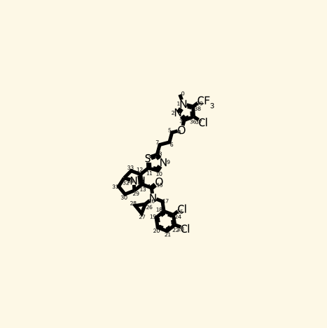 Cn1nc(OCCCc2ncc(C3=C(C(=O)N(Cc4cccc(Cl)c4Cl)C4CC4)C4CCC(C3)N4)s2)c(Cl)c1C(F)(F)F